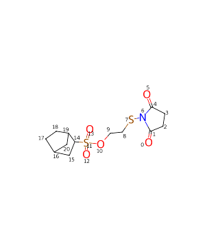 O=C1CCC(=O)N1SCCOS(=O)(=O)C1CC2CCC1C2